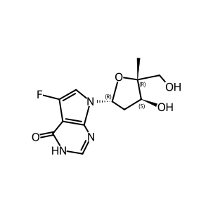 C[C@]1(CO)O[C@@H](n2cc(F)c3c(=O)[nH]cnc32)C[C@@H]1O